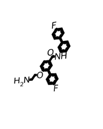 NCCOc1ccc(C(=O)Nc2cccc(-c3ccc(F)cc3)c2)cc1-c1ccc(F)cc1